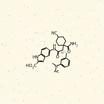 CC(=O)N(C)c1cccc(C[C@H](C(=O)Nc2ccc3[nH]c(C(=O)O)cc3c2)C2(C(N)=O)CCC(C#N)CC2)c1